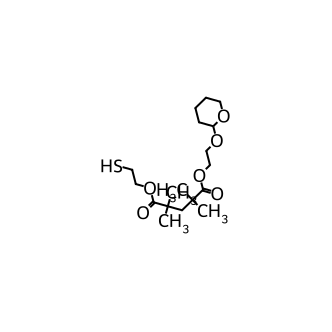 CC(C)(CC(C)(C)C(=O)OCCOC1CCCCO1)C(=O)OCCS